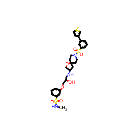 CNS(=O)(=O)c1cccc(OCC(O)CNC2COC3(CCN(S(=O)(=O)c4cccc(-c5ccsc5)c4)CC3)C2)c1